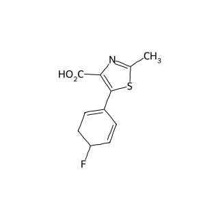 Cc1nc(C(=O)O)c(C2=CCC(F)C=C2)s1